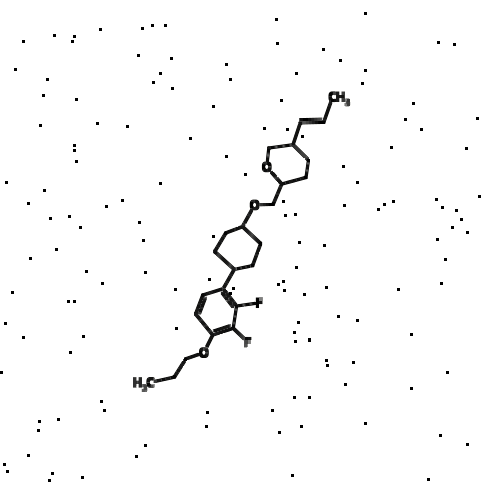 C/C=C/C1CCC(COC2CCC(c3ccc(OCCC)c(F)c3F)CC2)OC1